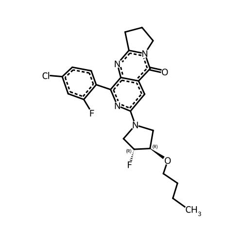 CCCCO[C@@H]1CN(c2cc3c(=O)n4c(nc3c(-c3ccc(Cl)cc3F)n2)CCC4)C[C@H]1F